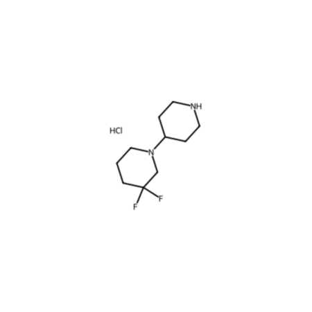 Cl.FC1(F)CCCN(C2CCNCC2)C1